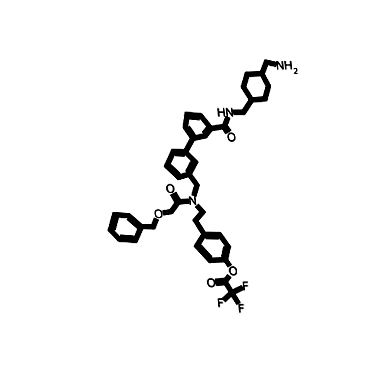 NCC1CCC(CNC(=O)c2cccc(-c3cccc(CN(CCc4ccc(OC(=O)C(F)(F)F)cc4)C(=O)COCc4ccccc4)c3)c2)CC1